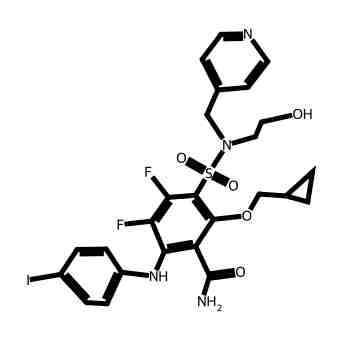 NC(=O)c1c(Nc2ccc(I)cc2)c(F)c(F)c(S(=O)(=O)N(CCO)Cc2ccncc2)c1OCC1CC1